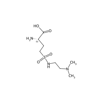 CN(C)CCNS(=O)(=O)CC[C@H](N)C(=O)O